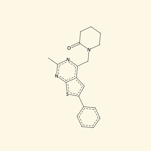 Cc1nc(CN2CCCCC2=O)c2cc(-c3ccccc3)sc2n1